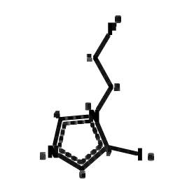 FCCn1cncc1I